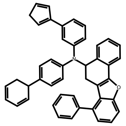 C1=CCC(c2ccc(N(c3cccc(C4=CCC=C4)c3)C3Cc4c(oc5cccc(-c6ccccc6)c45)-c4ccccc43)cc2)C=C1